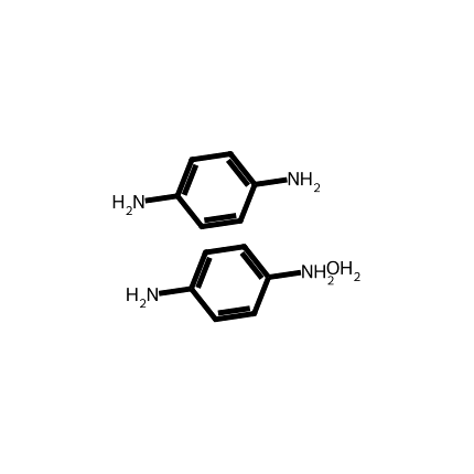 Nc1ccc(N)cc1.Nc1ccc(N)cc1.O